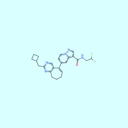 O=C(NCC(F)F)c1cnn2ccc(C3=CCCCc4nc(CC5CCC5)ncc43)cc12